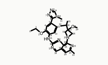 CCOc1cc(-c2nncn2C)ccc1Nc1ncc2cc(C)nc(N3CC(OC)(C(C)C)C3)c2n1